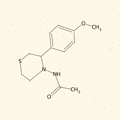 COc1ccc(C2CSC[CH]N2NC(C)=O)cc1